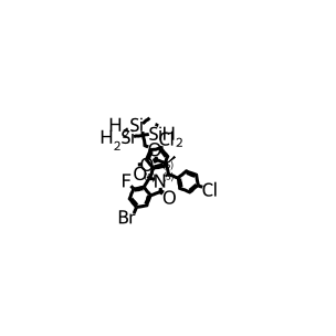 CO[C@@]1(c2ccc(Cl)cc2)c2c(F)cc(Br)cc2C(=O)N1[C@H](c1ccc(Cl)cc1)[C@H](C)C(=O)OCC([SiH2]C)([SiH2]C)[SiH2]C